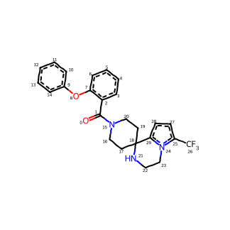 O=C(c1ccccc1Oc1ccccc1)N1CCC2(CC1)NCCn1c(C(F)(F)F)ccc12